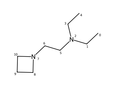 CCN(CC)CCN1CCC1